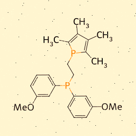 COc1cccc(P(CCp2c(C)c(C)c(C)c2C)c2cccc(OC)c2)c1